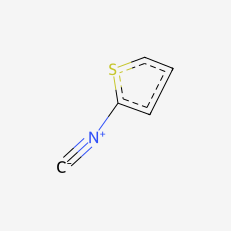 [C-]#[N+]c1cccs1